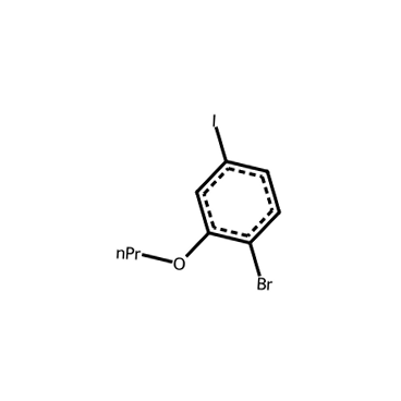 CCCOc1cc(I)ccc1Br